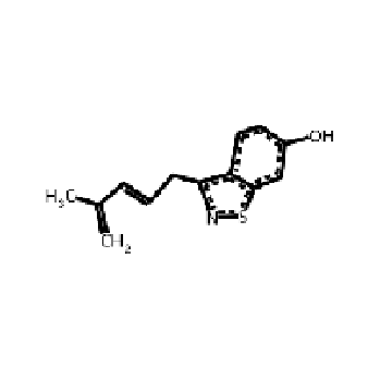 C=C(C)C=CCc1nsc2cc(O)ccc12